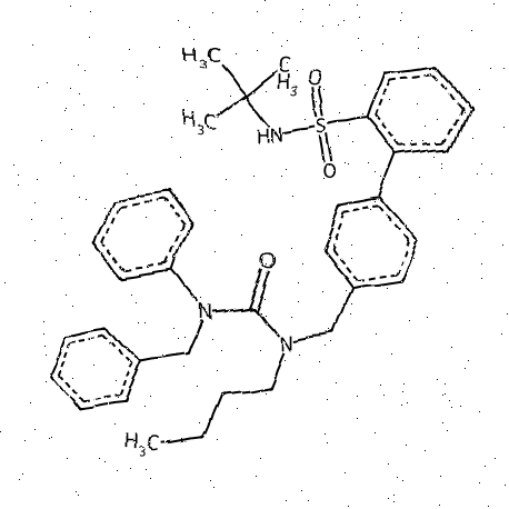 CCCCN(Cc1ccc(-c2ccccc2S(=O)(=O)NC(C)(C)C)cc1)C(=O)N(Cc1ccccc1)c1ccccc1